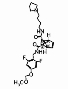 COCOc1cc(F)c(CNC(=O)[C@H]2[C@H](C(=O)NCCCCN3CCCC3)[C@H]3C=C[C@@H]2C32CC2)c(F)c1